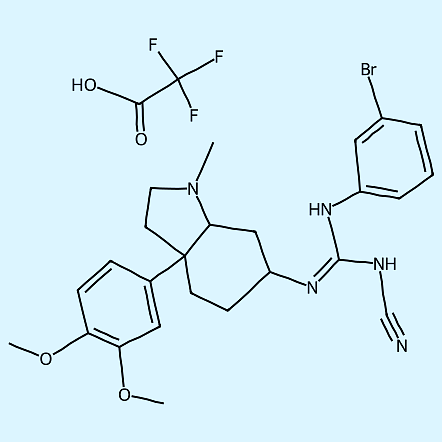 COc1ccc(C23CCC(/N=C(/NC#N)Nc4cccc(Br)c4)CC2N(C)CC3)cc1OC.O=C(O)C(F)(F)F